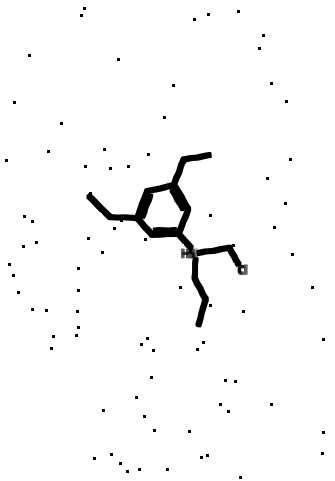 CCC[SiH](CCl)c1cc(CC)cc(CC)c1